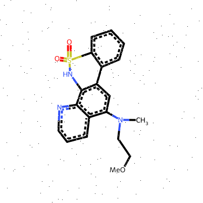 COCCN(C)c1cc2c(c3ncccc13)NS(=O)(=O)c1ccccc1-2